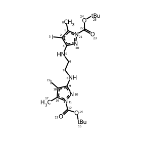 Cc1c(I)c(NCCNc2nn(C(=O)OC(C)(C)C)c(C)c2I)nn1C(=O)OC(C)(C)C